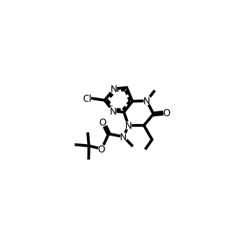 CCC1C(=O)N(C)c2cnc(Cl)nc2N1N(C)C(=O)OC(C)(C)C